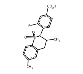 Cc1ccc2c(c1)CC(C)N(c1ccc(C(=O)O)cc1F)S2(=O)=O